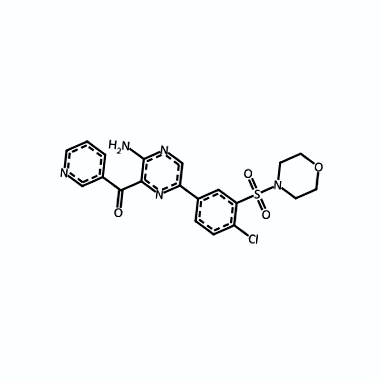 Nc1ncc(-c2ccc(Cl)c(S(=O)(=O)N3CCOCC3)c2)nc1C(=O)c1cccnc1